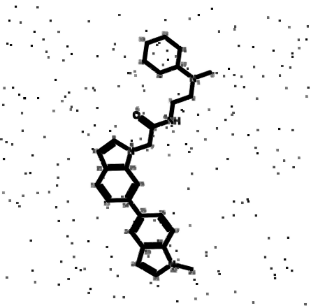 CN(CCNC(=O)Cn1ccc2ccc(-c3ccc4c(ccn4C)c3)cc21)C1CCCCC1